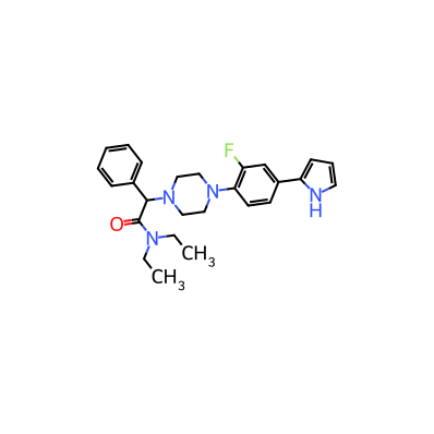 CCN(CC)C(=O)C(c1ccccc1)N1CCN(c2ccc(-c3ccc[nH]3)cc2F)CC1